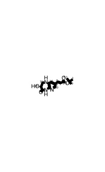 CC(C)(C)OC(=O)/C=C/c1cnc2c(c1)NC[C@@H](O)C(=O)N2